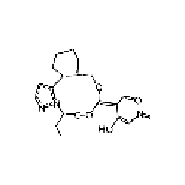 C=N/C=C(O)\C(C=O)=C1\OCC2CCCCC2c2ccnn2C(CC)CO1